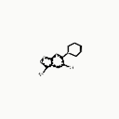 N#Cc1cc2c(N)snc2nc1N1CCCCC1